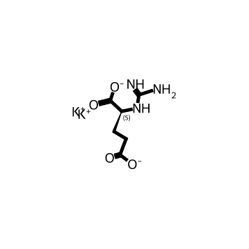 N=C(N)N[C@@H](CCC(=O)[O-])C(=O)[O-].[K+].[K+]